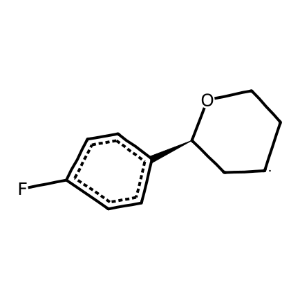 Fc1ccc([C@@H]2C[CH]CCO2)cc1